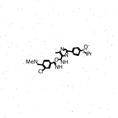 CNCc1ccc(C(=N)OC(=N)c2nc(-c3ccc([S+]([O-])C(C)C)cc3)cnc2C)cc1Cl